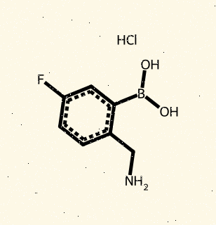 Cl.NCc1ccc(F)cc1B(O)O